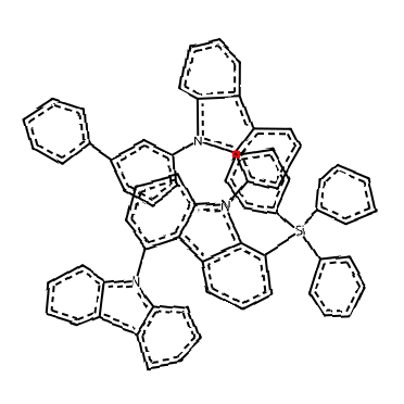 c1ccc(-c2cccc(-n3c4ccccc4c4cccc(-n5c6cccc(-n7c8ccccc8c8ccccc87)c6c6cccc([Si](c7ccccc7)(c7ccccc7)c7ccccc7)c65)c43)c2)cc1